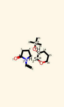 C=CN1CCCC1=O.C[Si](C)(C)O[SiH]1CCCO[SiH2]1